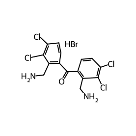 Br.NCc1c(C(=O)c2ccc(Cl)c(Cl)c2CN)ccc(Cl)c1Cl